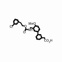 COc1ccc(-c2cccc(CC(=O)O)c2)cc1CNC(=O)OCCc1cccc(Cl)c1